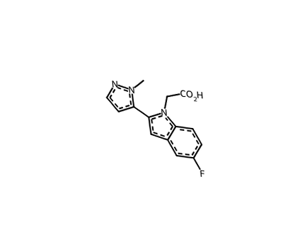 Cn1nccc1-c1cc2cc(F)ccc2n1CC(=O)O